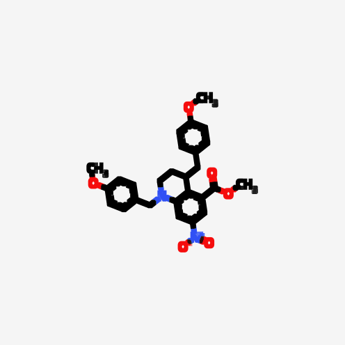 COC(=O)c1cc([N+](=O)[O-])cc2c1C(Cc1ccc(OC)cc1)CCN2Cc1ccc(OC)cc1